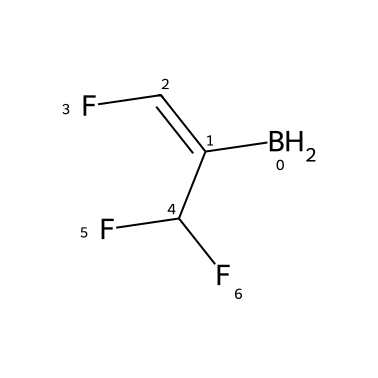 BC(=CF)C(F)F